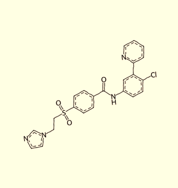 O=C(Nc1ccc(Cl)c(-c2ccccn2)c1)c1ccc(S(=O)(=O)CCn2ccnc2)cc1